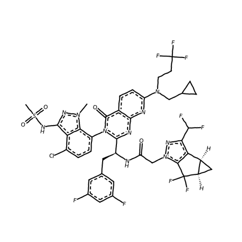 Cn1nc(NS(C)(=O)=O)c2c(Cl)ccc(-n3c([C@H](Cc4cc(F)cc(F)c4)NC(=O)Cn4nc(C(F)F)c5c4C(F)(F)[C@@H]4C[C@H]54)nc4nc(N(CCC(F)(F)F)CC5CC5)ccc4c3=O)c21